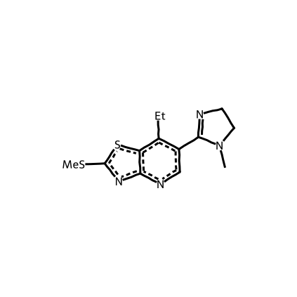 CCc1c(C2=NCCN2C)cnc2nc(SC)sc12